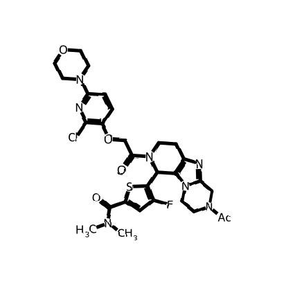 CC(=O)N1CCn2c(nc3c2C(c2sc(C(=O)N(C)C)cc2F)N(C(=O)COc2ccc(N4CCOCC4)nc2Cl)CC3)C1